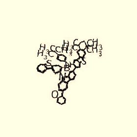 CC(C)(C)c1ccc(N2B3c4cc5sc6ccccc6c5cc4-n4c5cc6oc7ccccc7c6cc5c5ccc(c3c54)-c3cc4sc5cc6c(cc5c4cc32)C(C)(C)CCC6(C)C)cc1